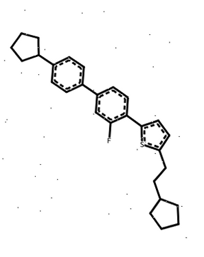 Fc1cc(-c2ccc(C3CCCC3)cc2)ccc1-c1ccc(CCC2CCCC2)s1